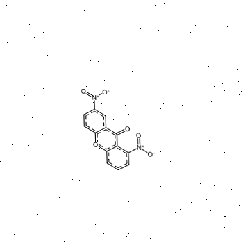 O=c1c2cc([N+](=O)[O-])ccc2oc2cccc([N+](=O)[O-])c12